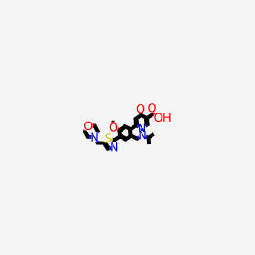 COc1cc2c(cc1-c1ncc(CN3CCOCC3)s1)CN(C(C)C)n1cc(C(=O)O)c(=O)cc1-2